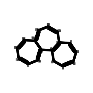 [CH]1C=CC=CC2=C1C1=CC=CC=CC1=CC=C2